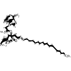 CCCCCCCCCCCCCCCCSSCCC(CC(=O)CC)(OC(C)Cn1cnc2c(N)ncnc21)P(=O)=O